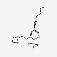 CCCCC#CC1=CNC(C(F)(F)F)C(OC[C@@H]2CCN2)=C1